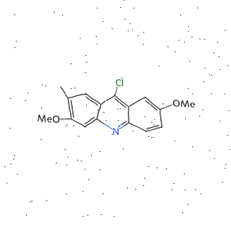 COc1ccc2nc3cc(OC)c(C)cc3c(Cl)c2c1